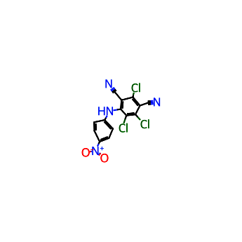 N#Cc1c(Cl)c(Cl)c(Nc2ccc([N+](=O)[O-])cc2)c(C#N)c1Cl